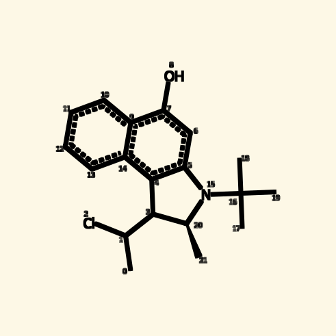 CC(Cl)C1c2c(cc(O)c3ccccc23)N(C(C)(C)C)[C@H]1C